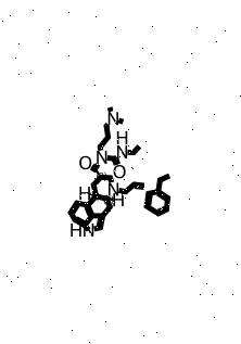 C=CCN1C[C@H](C(=O)N(CCCN(C)C)C(=O)NCC)C[C@@H]2c3cccc4[nH]cc(c34)C[C@H]21.CCc1ccccc1